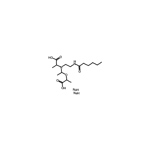 CCCCCC(=O)NCCN(C(C)OC(C)C(=O)O)C(C)C(=O)O.[NaH].[NaH]